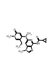 CCc1cn(C)c(=O)cc1N(C)c1cc2c(ncn2C)c(NC(=O)C2CC2)n1